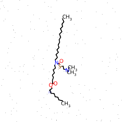 CCCCCC/C=C\COC(=O)CCCCCCCN(CCCCCCCCCCCCCCCCCC)C(=O)SCCN(C)C